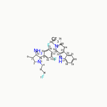 CC1CN(CCCF)C(c2cc(F)c([C@H]3c4[nH]c5ccccc5c4C[C@@H](C)N3CC(F)(F)F)c(F)c2)C1N